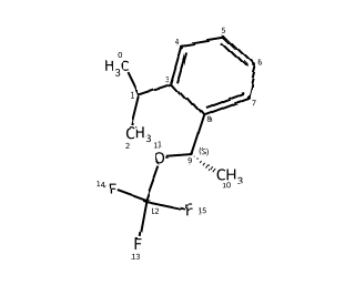 CC(C)c1ccccc1[C@H](C)OC(F)(F)F